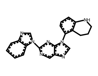 c1cc2c(c(-n3cnc4cnc(-n5cnc6ccccc65)nc43)c1)CCCN2